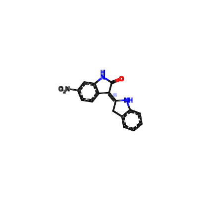 O=C1Nc2cc([N+](=O)[O-])ccc2/C1=C1\Cc2ccccc2N1